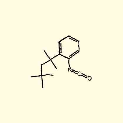 CC(C)(C)CC(C)(C)c1ccccc1N=C=O